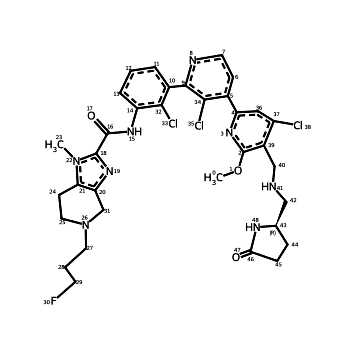 COc1nc(-c2ccnc(-c3cccc(NC(=O)c4nc5c(n4C)CCN(CCCF)C5)c3Cl)c2Cl)cc(Cl)c1CNC[C@H]1CCC(=O)N1